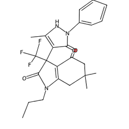 CCCN1C(=O)C(c2c(C)[nH]n(-c3ccccc3)c2=O)(C(F)(F)F)C2=C1CC(C)(C)CC2=O